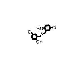 Oc1ccc(Cl)cc1CSCc1cc(Cl)ccc1O